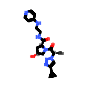 CC(C)(C)[C@@H](C(=O)N1C[C@H](O)C[C@H]1C(=O)NCCNc1ccncc1)n1cc(C2CC2)nn1